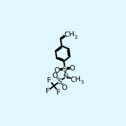 C=Cc1ccc(S(=O)(=O)N(C)S(=O)(=O)C(F)(F)F)cc1